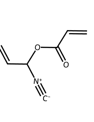 [C-]#[N+]C(C=C)OC(=O)C=C